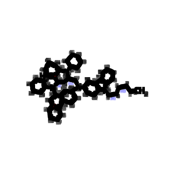 C=C/C=C\C=C/n1c2ccccc2c2cc(N(/C=C(\C=C(/C=C)N(c3ccccc3)c3ccccc3)N(C3=CC=CCC3)c3ccccc3)c3ccc(-c4ccccc4)cc3)ccc21